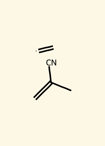 C=C(C)C#N.[CH]=C